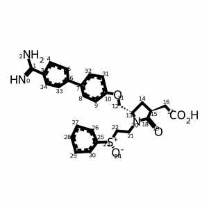 N=C(N)c1ccc(-c2ccc(OC[C@@H]3C[C@@H](CC(=O)O)C(=O)N3CC[S+]([O-])c3ccccc3)cc2)cc1